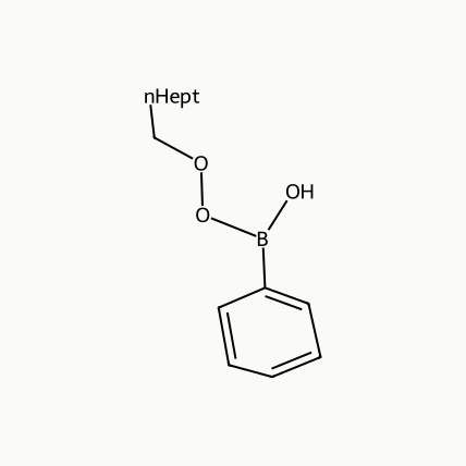 CCCCCCCCOOB(O)c1ccccc1